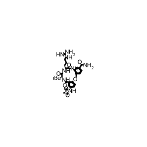 CC[C@H](C)[C@@H]1NC(=O)c2cc(NS(C)(=O)=O)ccc2OCc2ccc(C(N)=O)cc2NC(=O)[C@H](CCCNC(=N)N)NC1=O